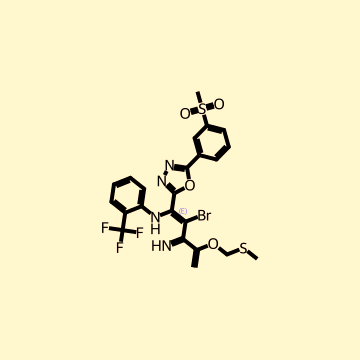 C=C(OCSC)C(=N)/C(Br)=C(\Nc1ccccc1C(F)(F)F)c1nnc(-c2cccc(S(C)(=O)=O)c2)o1